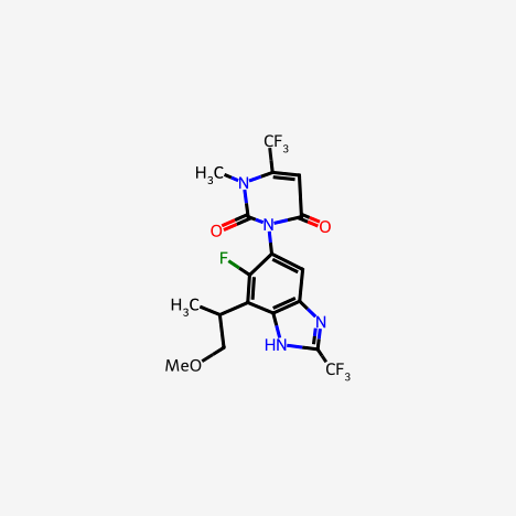 COCC(C)c1c(F)c(-n2c(=O)cc(C(F)(F)F)n(C)c2=O)cc2nc(C(F)(F)F)[nH]c12